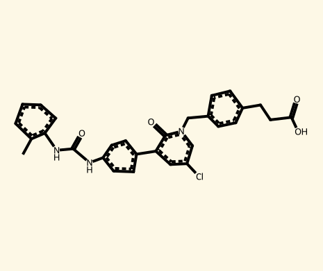 Cc1ccccc1NC(=O)Nc1ccc(-c2cc(Cl)cn(Cc3ccc(CCC(=O)O)cc3)c2=O)cc1